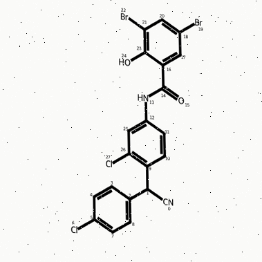 N#CC(c1ccc(Cl)cc1)c1ccc(NC(=O)c2cc(Br)cc(Br)c2O)cc1Cl